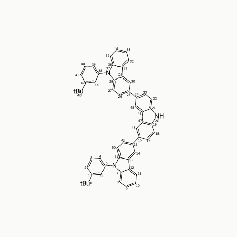 CC(C)(C)c1cccc(-n2c3ccccc3c3cc(-c4ccc5[nH]c6ccc(-c7ccc8c(c7)c7ccccc7n8-c7cccc(C(C)(C)C)c7)cc6c5c4)ccc32)c1